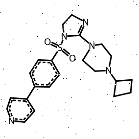 O=S(=O)(c1ccc(-c2ccncc2)cc1)N1CCN=C1N1CCN(C2CCC2)CC1